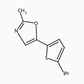 Cc1ncc(-c2ccc(C(C)C)s2)o1